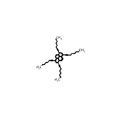 CCCCCCC#Cc1cc(C#CCCCCCC)c2ccc3c(C#CCCCCCC)cc(C#CCCCCCC)c4ccc1c2c43